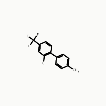 Cc1ccc(-c2ccc(C(F)(F)F)cc2Cl)cc1